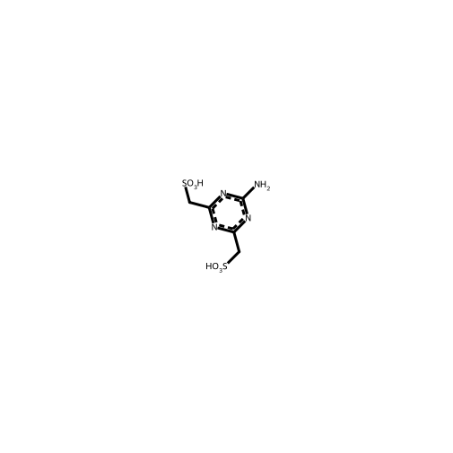 Nc1nc(CS(=O)(=O)O)nc(CS(=O)(=O)O)n1